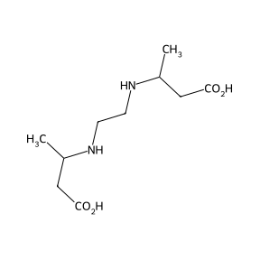 CC(CC(=O)O)NCCNC(C)CC(=O)O